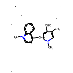 CC1=CN(C)CC=C1C=O.C[n+]1ccc(C=O)c2ccccc21